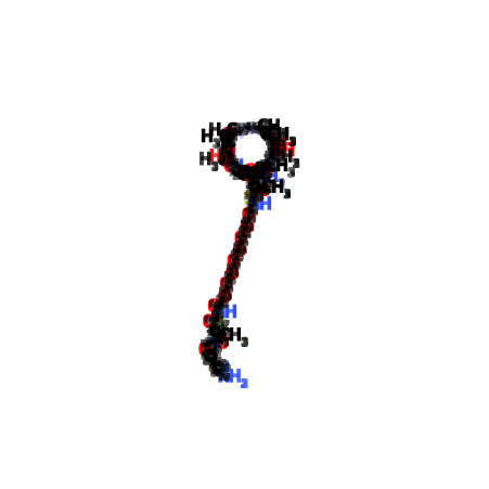 CO[C@H]1C[C@@H]2CC[C@@H](C)[C@@](O)(O2)C(=O)C(=O)N2CCCC[C@H]2C(=O)O[C@H]([C@H](N)C[C@@H]2CC[C@@H](OC(=S)NCCOCCOCCOCCOCCOCCOCCOCCOCCC(=O)NCC[S+]([O-])c3ccc(C(=O)N4CCOc5ccc(-c6ccc(N)nc6)cc5C4)c(C)c3F)[C@H](OC)C2)C[C@@H](OC)[C@H](C)/C=C(\C)[C@@H](O)[C@@H](O)C(=O)[C@H](C)C[C@H](C)/C=C/C=C/C=C/1C